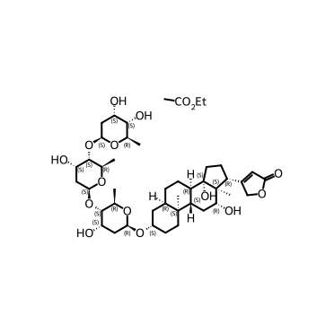 CCOC(C)=O.C[C@H]1O[C@@H](O[C@H]2[C@@H](O)C[C@H](O[C@H]3[C@@H](O)C[C@H](O[C@H]4CC[C@@]5(C)[C@H](CC[C@@H]6[C@@H]5C[C@@H](O)[C@]5(C)[C@@H](C7=CC(=O)OC7)CC[C@]65O)C4)O[C@@H]3C)O[C@@H]2C)C[C@H](O)[C@@H]1O